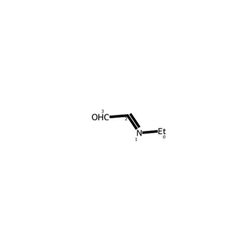 CCN=CC=O